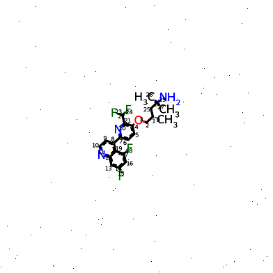 C[C@H](COc1ccc(-c2ccnc3cc(F)cc(F)c23)nc1C(F)F)CC(C)(C)N